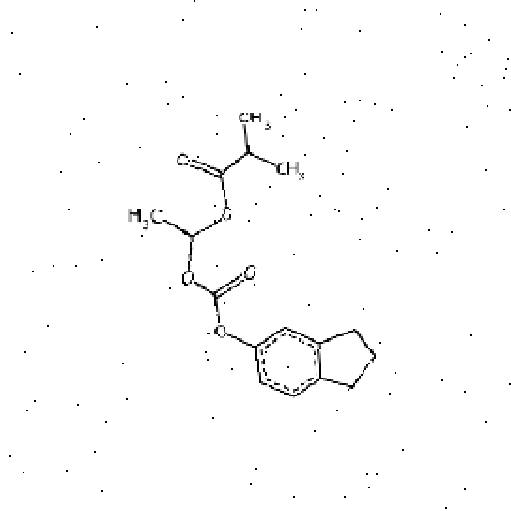 CC(OC(=O)Oc1ccc2c(c1)CCC2)OC(=O)C(C)C